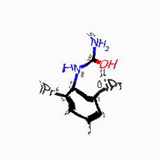 CC(C)c1cccc(C(C)C)c1NC(N)O